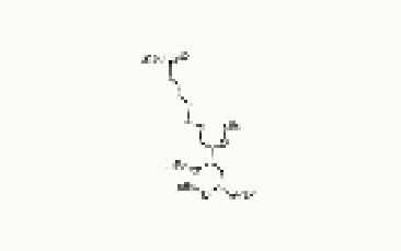 CCCCCCC(CC(OCCCC)C(CCCCCCCC(=O)OC)OCCCC)OCCCC